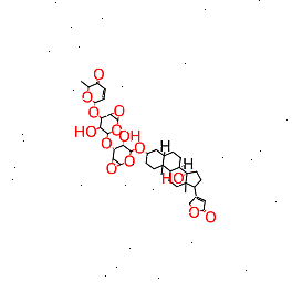 CC1O[C@@H](O[C@H]2C3OC3OC(O[C@H]3C4OC4OC(O[C@H]4CCC5(C)C6CCC7(C)C(C8=CC(=O)OC8)CC[C@]7(O)[C@@H]6CC[C@H]5C4)[C@H]3O)[C@H]2O)C=CC1=O